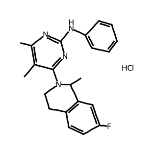 Cc1nc(Nc2ccccc2)nc(N2CCc3ccc(F)cc3C2C)c1C.Cl